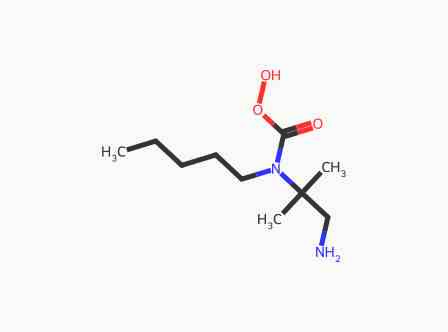 CCCCCN(C(=O)OO)C(C)(C)CN